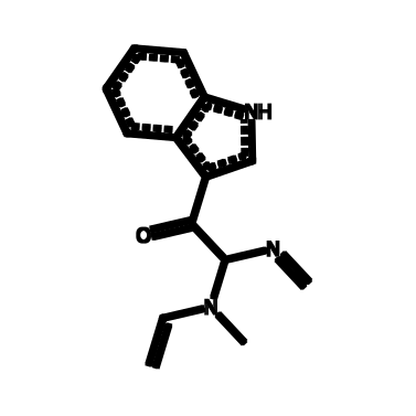 C=CN(C)C(N=C)C(=O)c1c[nH]c2ccccc12